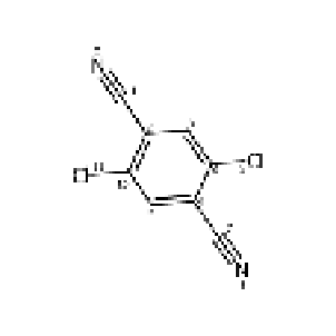 N#Cc1cc(Cl)c(C#N)cc1Cl